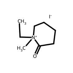 CC[N+]1(C)CCCCC1=O.[I-]